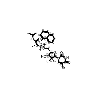 CC(C)OC(=O)[C@@H](C)NP(=O)(OC[C@H]1OC(n2cc(Br)c(=O)[nH]c2=O)[C@](C)(Cl)[C@@H]1O)Oc1cccc2ccccc12